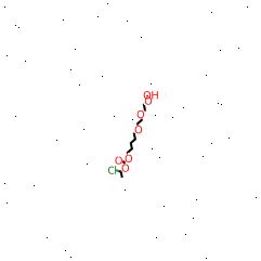 CC(Cl)OC(=O)OCCCCCOCCOCCOO